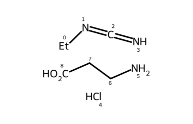 CCN=C=N.Cl.NCCC(=O)O